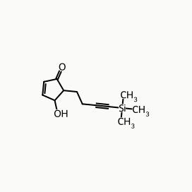 C[Si](C)(C)C#CCCC1C(=O)C=CC1O